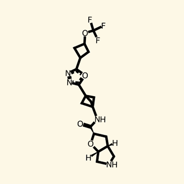 O=C(NC12CC(c3nnc(C4CC(OC(F)(F)F)C4)o3)(C1)C2)[C@H]1C[C@@H]2CNC[C@@H]2O1